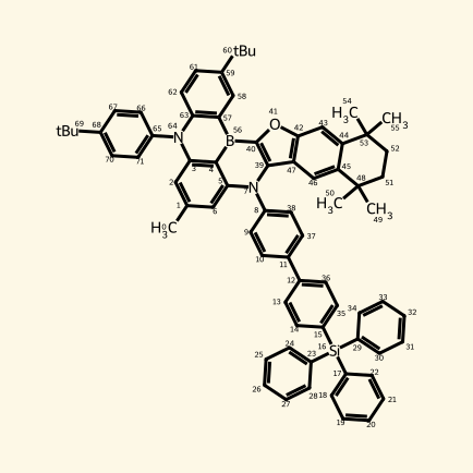 Cc1cc2c3c(c1)N(c1ccc(-c4ccc([Si](c5ccccc5)(c5ccccc5)c5ccccc5)cc4)cc1)c1c(oc4cc5c(cc14)C(C)(C)CCC5(C)C)B3c1cc(C(C)(C)C)ccc1N2c1ccc(C(C)(C)C)cc1